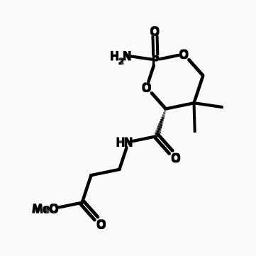 COC(=O)CCNC(=O)[C@@H]1OP(N)(=O)OCC1(C)C